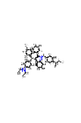 CCC(C)c1ccc(Cn2c(-c3ccccc3)c(C(c3ccc(C)cc3)c3ccc(N(CC)CC)cc3)c3ccccc32)cc1